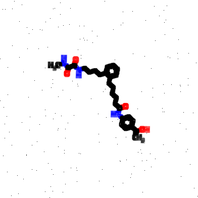 C=C(O)c1ccc(NC(=O)CCCCCc2ccccc2CCCCNC(=O)C(=O)NC)cc1